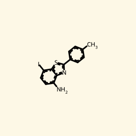 Cc1ccc(-c2nc3c(N)ccc(I)c3s2)cc1